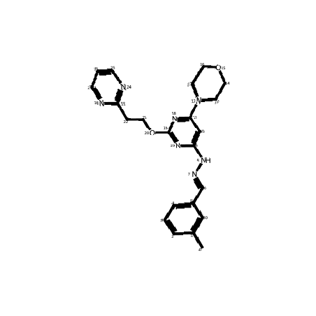 Cc1cccc(/C=N/Nc2cc(N3CCOCC3)nc(OCCc3ncccn3)n2)c1